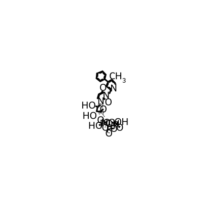 Cc1cnc(Cn2c(=O)ccn([C@@H]3O[C@H](COP(=O)(O)OP(=O)(O)OP(=O)(O)O)C(O)C3O)c2=O)cc1-c1ccccc1